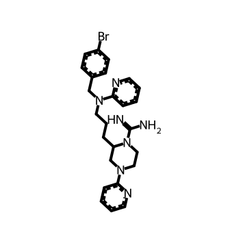 N=C(N)N1CCN(c2ccccn2)CC1CCCN(Cc1ccc(Br)cc1)c1ccccn1